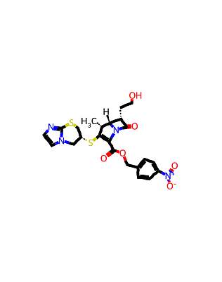 C[C@H]1C(S[C@H]2CSc3nccn3C2)=C(C(=O)OCc2ccc([N+](=O)[O-])cc2)N2C(=O)[C@@H](CCO)[C@@H]12